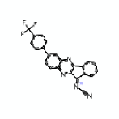 N#C/N=C1\c2ccccc2-c2nc3cc(-c4ccc(C(F)(F)F)cc4)ccc3nc21